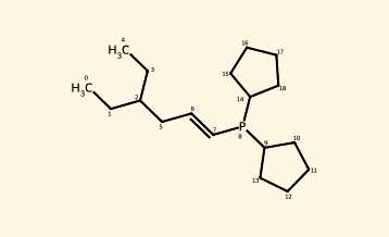 CCC(CC)CC=CP(C1CCCC1)C1CCCC1